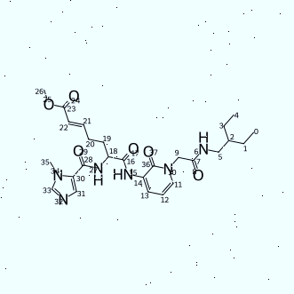 CCC(CC)CNC(=O)Cn1cccc(NC(=O)C(CCC=CC(=O)OC)NC(=O)c2cncn2C)c1=O